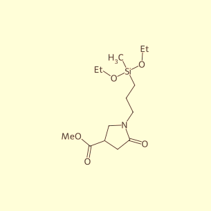 CCO[Si](C)(CCCN1CC(C(=O)OC)CC1=O)OCC